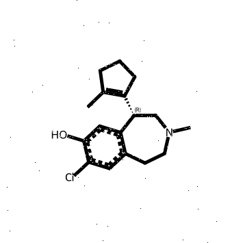 CC1=C([C@@H]2CN(C)CCc3cc(Cl)c(O)cc32)CCC1